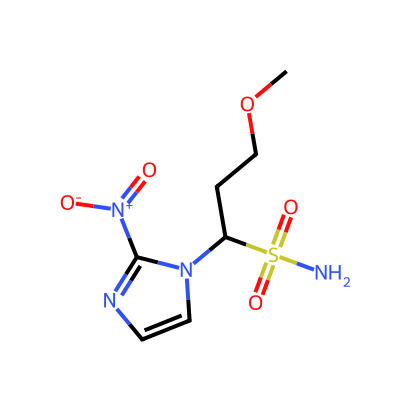 COCCC(n1ccnc1[N+](=O)[O-])S(N)(=O)=O